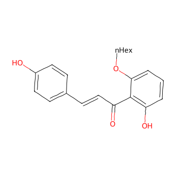 CCCCCCOc1cccc(O)c1C(=O)/C=C/c1ccc(O)cc1